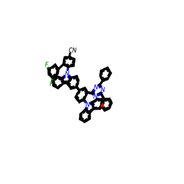 N#Cc1ccc(-n2c3ccccc3c3cc(-c4ccc(-n5c6ccccc6c6ccccc65)c(-c5nc(-c6ccccc6)nc(-c6ccccc6)n5)c4)ccc32)c(-c2cc(F)cc(F)c2)c1